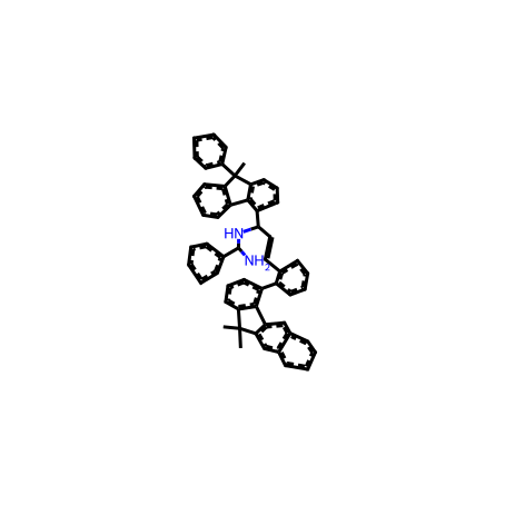 CC1(C)c2cc3ccccc3cc2-c2c(-c3ccccc3/C=C/C(NC(N)c3ccccc3)c3cccc4c3-c3ccccc3C4(C)c3ccccc3)cccc21